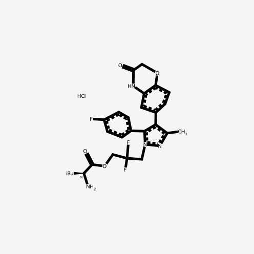 CCC(C)[C@H](N)C(=O)OCC(F)(F)Cn1nc(C)c(-c2ccc3c(c2)NC(=O)CO3)c1-c1ccc(F)cc1.Cl